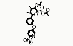 CC(=O)OC[C@H]1OC(c2cccc(Oc3ccc([N+](=O)[O-])nc3)c2)[C@@H](C)[C@@H](C)[C@@H]1OC(C)=O